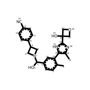 Cc1ccc(C(O)N2CC(c3ccc(C#N)cc3)C2)cc1-c1[nH]c(C2(O)COC2)nc1C